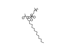 CCCCCCCCCCCCC(COC(C)=O)OP(=O)([O-])OCC[N+](C)(C)C